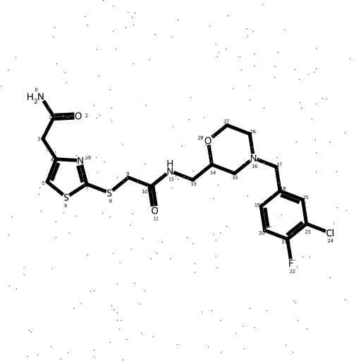 NC(=O)Cc1csc(SCC(=O)NCC2CN(Cc3ccc(F)c(Cl)c3)CCO2)n1